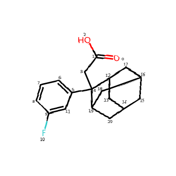 O=C(O)CC1(c2cccc(F)c2)C2CC3CC(C2)CC1C3